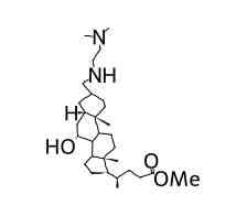 COC(=O)CC[C@@H](C)[C@H]1CCC2C3C(CC[C@@]21C)[C@@]1(C)CCC(CNCCN(C)C)C[C@H]1C[C@H]3O